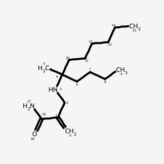 C=C(CNC(C)(CCCC)CCCCCC)C(N)=O